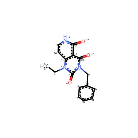 CCn1c(=O)n(Cc2ccccc2)c(=O)c2c(=O)[nH]ccc21